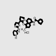 Cc1ccc2c(NC(=O)c3ccccc3)cccc2c1Oc1ncccc1-c1ccnc(NC2CCCNC2)n1.Cl